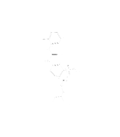 CCC(C)CNC(=O)c1ccc(NC(=O)Cc2ccccc2Cl)cc1S(N)(=O)=O